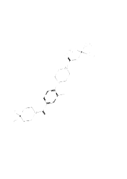 CC(C)(C)OC(=O)N1CCN(c2ccc(C(=O)N3CCC(F)(F)CC3)cc2Cl)CC1